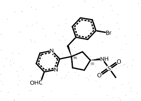 CS(=O)(=O)N[C@H]1CC[C@](Cc2cccc(Br)c2)(c2nccc(C=O)n2)C1